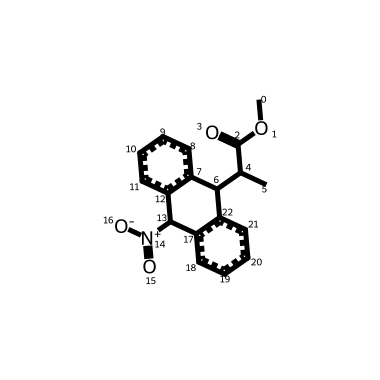 COC(=O)C(C)C1c2ccccc2C([N+](=O)[O-])c2ccccc21